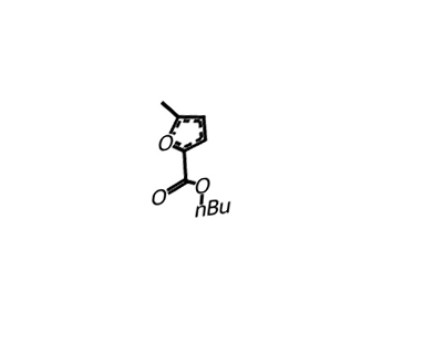 CCCCOC(=O)c1ccc(C)o1